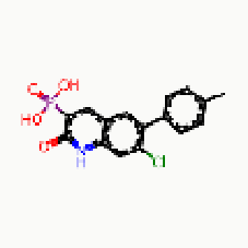 Cc1ccc(-c2cc3cc(P(=O)(O)O)c(=O)[nH]c3cc2Cl)cc1